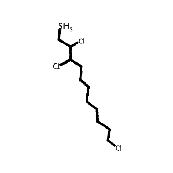 [SiH3]CC(Cl)C(Cl)CCCCCCCCCl